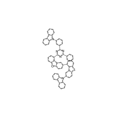 c1ccc(-c2nc(-c3cccc(-n4c5ccccc5c5ccccc54)c3)nc(-c3cccc4oc5ccc(-c6cccc7sc8ccc(-n9c%10ccccc%10c%10ccccc%109)cc8c67)cc5c34)n2)cc1